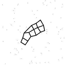 C1CC2C1C1C3C2C2C4CC5CC6C1C32C564